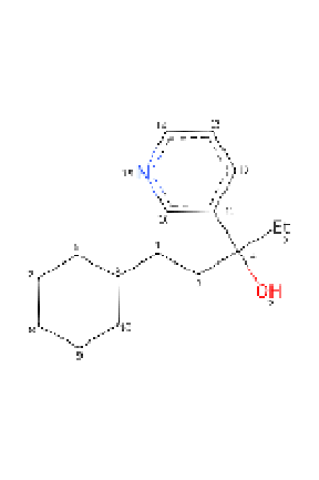 CCC(O)(CCC1CCCCC1)c1cccnc1